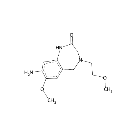 COCCN1CC(=O)Nc2cc(N)c(OC)cc2C1